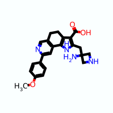 COc1ccc(-c2cc3c(cn2)CCc2c-3[nH]c(CC3(N)CNC3)c2C(=O)O)cc1